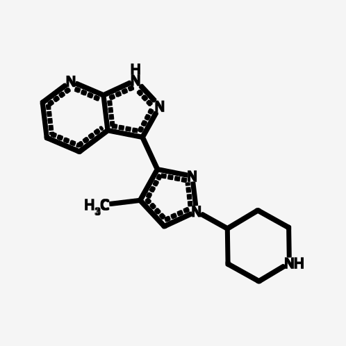 Cc1cn(C2CCNCC2)nc1-c1n[nH]c2ncccc12